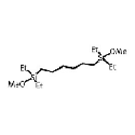 CC[Si](CC)(CCCCCC[Si](CC)(CC)OC)OC